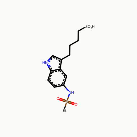 CCS(=O)(=O)Nc1ccc2[nH]cc(CCCCS(=O)(=O)O)c2c1